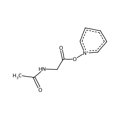 CC(=O)NCC(=O)O[n+]1ccccc1